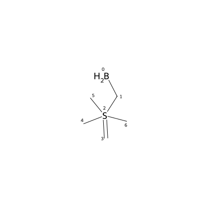 BCS(=C)(C)(C)C